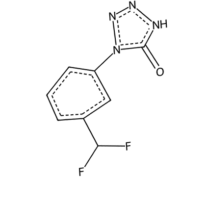 O=c1[nH]nnn1-c1cccc(C(F)F)c1